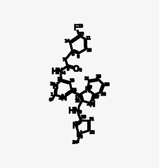 Cc1nc(NC(=O)Cc2cccc(F)c2)cc(-c2c(Nc3ccn(C)n3)nc3ccccn23)n1